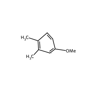 COc1[c]c(C)c(C)cc1